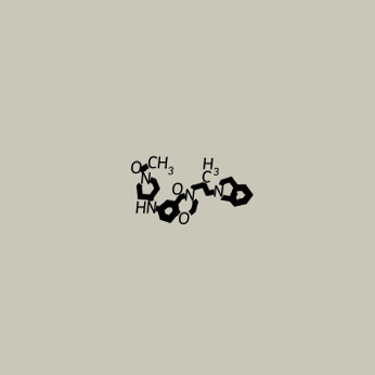 CC(=O)N1CCC(Nc2ccc3c(c2)C(=O)N(CC(C)CN2CCc4ccccc4C2)CCO3)CC1